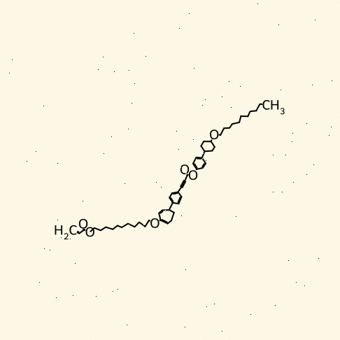 C=CC(=O)OCCCCCCCCCCCOC1=CCCC(c2ccc(C#CC(=O)Oc3ccc(C4CCC(OCCCCCCCCCCC)CC4)cc3)cc2)C=C1